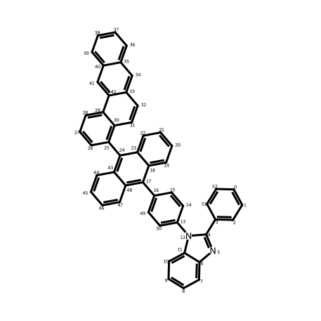 c1ccc(-c2nc3ccccc3n2-c2ccc(-c3c4ccccc4c(-c4cccc5c4ccc4cc6ccccc6cc45)c4ccccc34)cc2)cc1